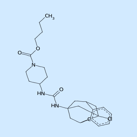 CCCCOC(=O)N1CCC(NC(=O)NC23CC4CC(Cl)(CC(C2)c2ccccc24)C3)CC1